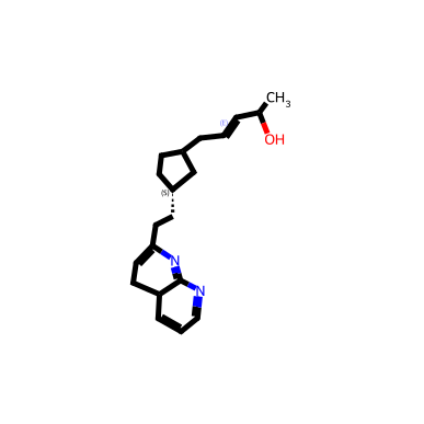 CC(O)/C=C/CC1CC[C@@H](CCC2=CCC3C=CC=NC3=N2)C1